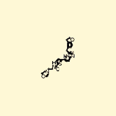 O=C(NCCN1CCOCC1)c1ccc(-c2ccc3nnc(Cc4ccc5c(c4)CCO5)n3n2)s1